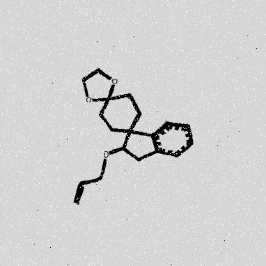 C=CCOC1Cc2ccccc2C12CCC1(CC2)OCCO1